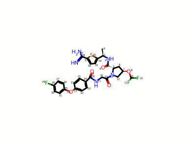 C[C@@H](NC(=O)[C@@H]1C[C@@H](OC(F)F)CN1C(=O)CNC(=O)c1ccc(Oc2ccc(F)cc2)cc1)c1ccc(C(=N)N)s1